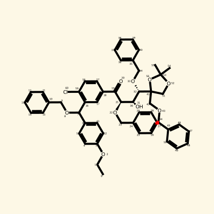 CCOc1ccc(C(OCc2ccccc2)c2cc(C(=O)[C@H](OCc3ccccc3)[C@@H](O)[C@H](OCc3ccccc3)C3(COCc4ccccc4)COC(C)(C)O3)ccc2Cl)cc1